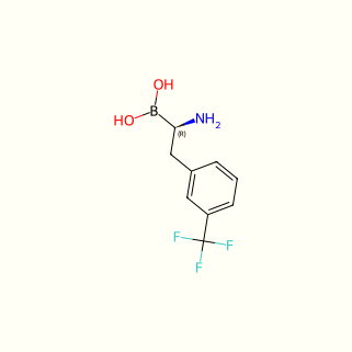 N[C@@H](Cc1cccc(C(F)(F)F)c1)B(O)O